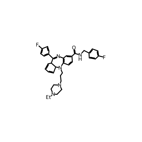 CCN1CCN(CCCN2c3ccc(C(=O)NCc4ccc(F)cc4)cc3N=C(c3ccc(F)cc3)C3C=CC=CC32)CC1